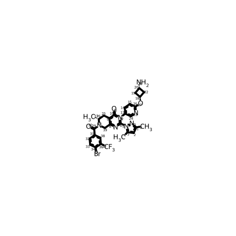 Cc1cc(C)n(-c2nc3c(c(=O)n2-c2ccc(O[C@H]4C[C@H](N)C4)nc2)C[C@@H](C)N(C(=O)c2ccc(Br)c(C(F)(F)F)c2)C3)n1